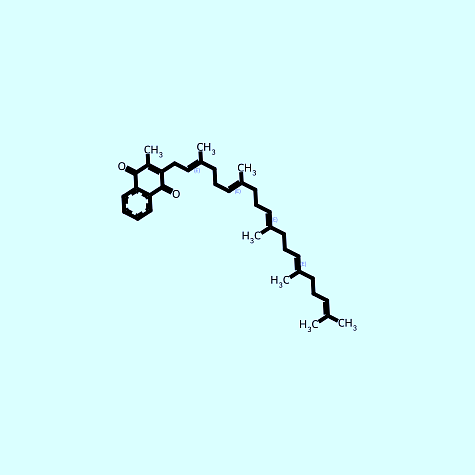 CC(C)=CCC/C(C)=C/CC/C(C)=C/CC/C(C)=C/CC/C(C)=C/CC1=C(C)C(=O)c2ccccc2C1=O